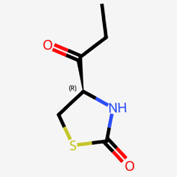 CCC(=O)[C@@H]1CSC(=O)N1